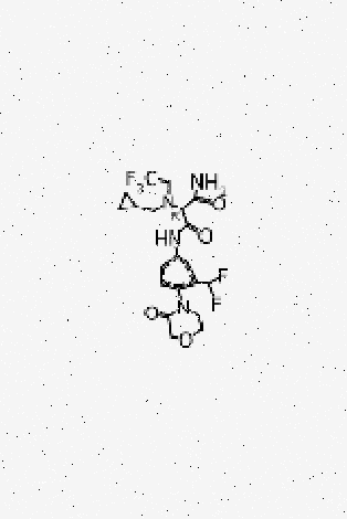 NC(=O)[C@@H](C(=O)Nc1ccc(N2CCOCC2=O)c(C(F)F)c1)N(CC1CC1)CC(F)(F)F